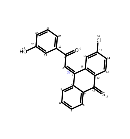 O=C(/C=C1/c2ccccc2C(=S)c2ccc(Cl)cc21)c1cccc(O)c1